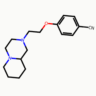 N#Cc1ccc(OCCN2CCN3CCCCC3C2)cc1